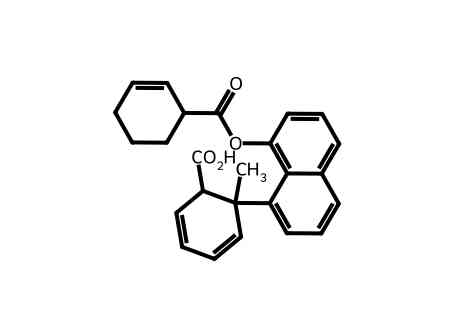 CC1(c2cccc3cccc(OC(=O)C4C=CCCC4)c23)C=CC=CC1C(=O)O